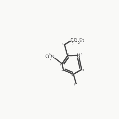 CCOC(=O)Cc1ncc(C)cc1[N+](=O)[O-]